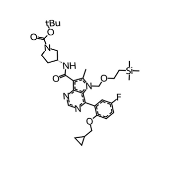 Cc1c(C(=O)N[C@@H]2CCN(C(=O)OC(C)(C)C)C2)c2ncnc(-c3cc(F)ccc3OCC3CC3)c2n1COCC[Si](C)(C)C